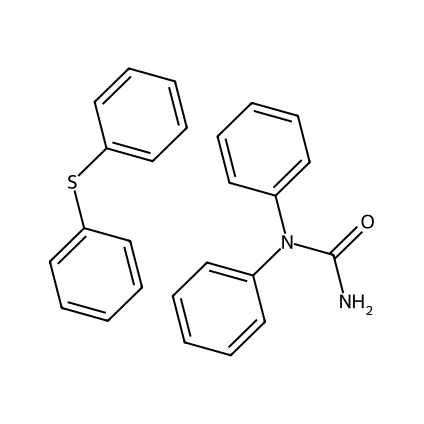 NC(=O)N(c1ccccc1)c1ccccc1.c1ccc(Sc2ccccc2)cc1